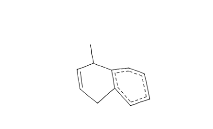 CC1C=CCc2ccccc21